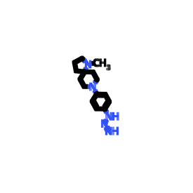 CN1CCCC12CCN(c1ccc(NN=N)cc1)CC2